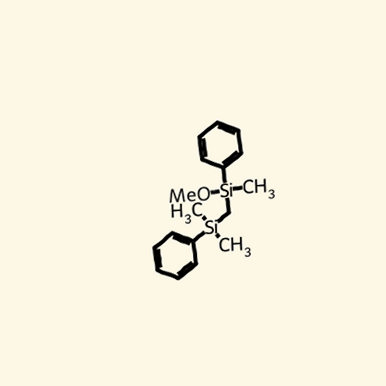 CO[Si](C)(C[Si](C)(C)c1ccccc1)c1ccccc1